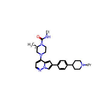 CCNC(=O)N1CCN(c2ccnn3cc(-c4ccc(C5CCN(C(C)C)CC5)cc4)cc23)C[C@H]1C